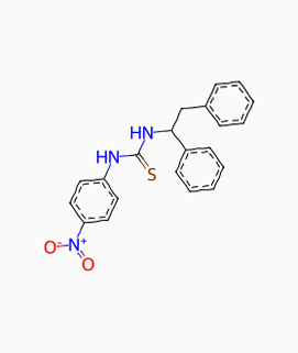 O=[N+]([O-])c1ccc(NC(=S)NC(Cc2ccccc2)c2ccccc2)cc1